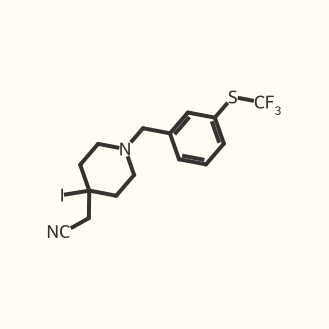 N#CCC1(I)CCN(Cc2cccc(SC(F)(F)F)c2)CC1